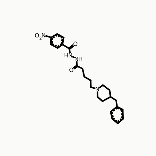 O=C(CCCCN1CCC(Cc2ccccc2)CC1)NNC(=O)c1ccc([N+](=O)[O-])cc1